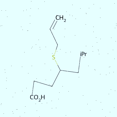 C=CCSC(CCC(=O)O)CC(C)C